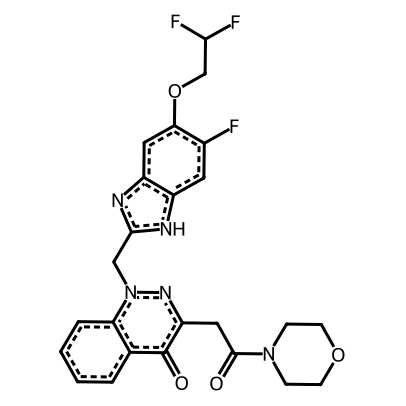 O=C(Cc1nn(Cc2nc3cc(OCC(F)F)c(F)cc3[nH]2)c2ccccc2c1=O)N1CCOCC1